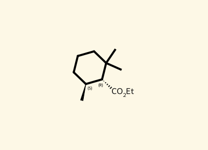 CCOC(=O)[C@@H]1[C@@H](C)CCCC1(C)C